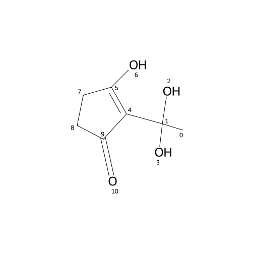 CC(O)(O)C1=C(O)CCC1=O